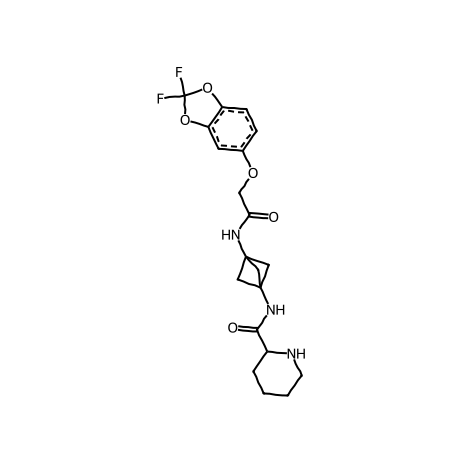 O=C(COc1ccc2c(c1)OC(F)(F)O2)NC12CC(NC(=O)C3CCCCN3)(C1)C2